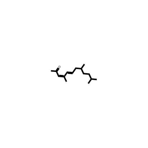 CC(=O)C=C(C)C=CCC(C)CCC(C)C